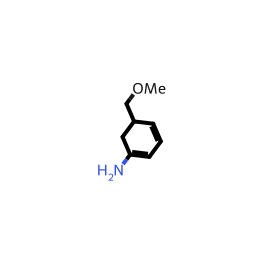 COCC1C=CC=C(N)C1